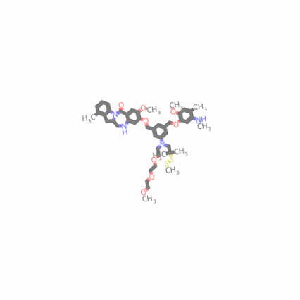 CNc1cc(OCc2cc(COc3cc4c(cc3OC)C(=O)N3c5cccc(C)c5CC3CN4)cc(N(CCOCCOCCOC)CC(C)(C)SSC)c2)c(OC)cc1C